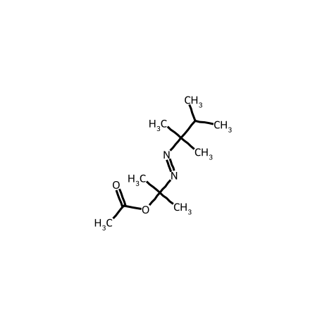 CC(=O)OC(C)(C)N=NC(C)(C)C(C)C